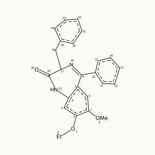 CCOc1cc2c(cc1OC)C(c1ccccc1)=NC(Cc1ccccc1)C(=O)N2